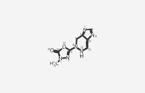 Cn1nc(N2CC3=NC=NC3=CN2)oc1=O